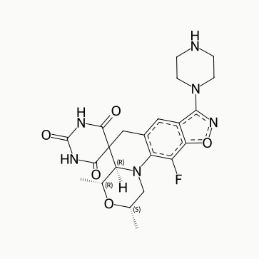 C[C@H]1CN2c3c(cc4c(N5CCNCC5)noc4c3F)CC3(C(=O)NC(=O)NC3=O)[C@@H]2[C@@H](C)O1